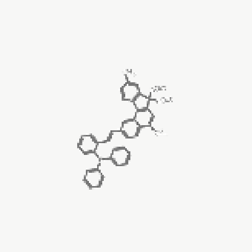 CCCCCCCCC1(CCCCCCCC)c2cc(C)ccc2-c2c1cc(C)c1ccc(/C=C/c3ccccc3P(c3ccccc3)c3ccccc3)cc21